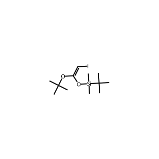 CC(C)(C)OC(=CI)O[Si](C)(C)C(C)(C)C